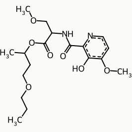 CCCOCCC(C)OC(=O)C(COC)NC(=O)c1nccc(OC)c1O